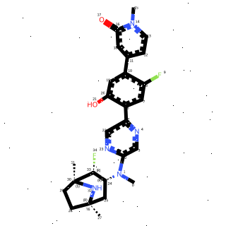 CN(c1cnc(-c2cc(F)c(-c3ccn(C)c(=O)c3)cc2O)cn1)[C@@H]1C[C@@]2(C)CC[C@](C)(N2)[C@@H]1F